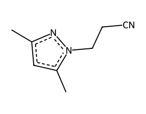 Cc1cc(C)n(CCC#N)n1